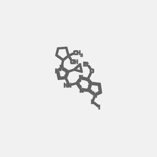 CCOc1nc(Nc2cnn(C3CCCC3(C)O)c2C2CC2)nc2c1ccn2SI